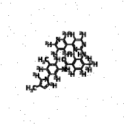 [2H]c1nc(Nc2c([2H])c(C(=O)Nc3c([2H])c(C)c([2H])c(-n4c([2H])cc(C)c4[2H])c3[2H])c([2H])c([2H])c2C([2H])([2H])[2H])nc(-c2c([2H])nc([2H])c([2H])c2[2H])c1[2H]